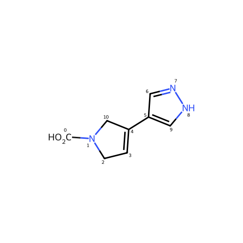 O=C(O)N1CC=C(c2cn[nH]c2)C1